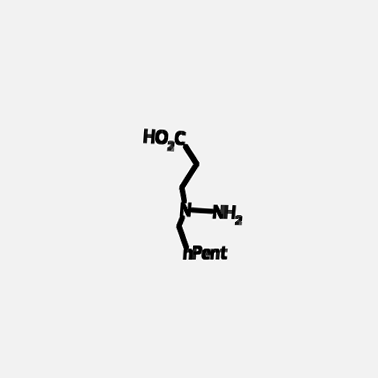 CCCCCCN(N)CCC(=O)O